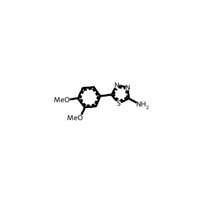 COc1ccc(-c2nnc(N)s2)cc1OC